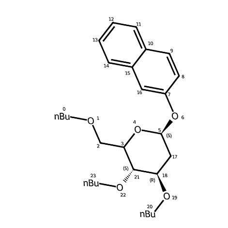 CCCCOCC1O[C@@H](Oc2ccc3ccccc3c2)C[C@@H](OCCCC)[C@@H]1OCCCC